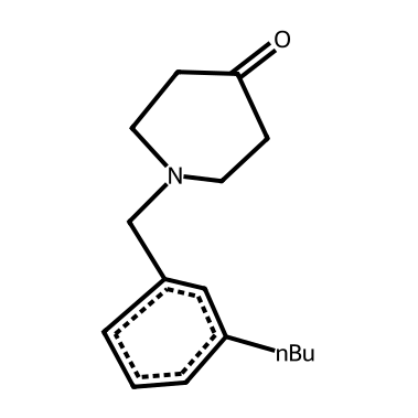 CCCCc1cccc(CN2CCC(=O)CC2)c1